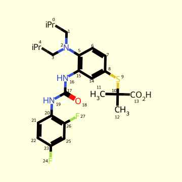 CC(C)CN(CC(C)C)c1ccc(SC(C)(C)C(=O)O)cc1NC(=O)Nc1ccc(F)cc1F